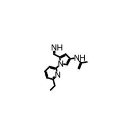 C=C(C)Nc1cc(C=N)n(-c2cccc(CC)n2)c1